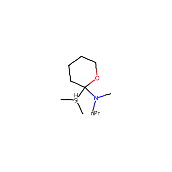 CCCN(C)C1([SiH](C)C)CCCCO1